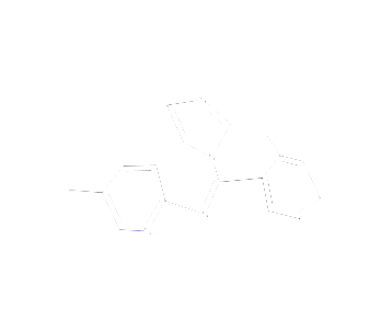 FC(F)(F)c1ccccc1/C(=N/c1ccc(Cl)cn1)n1ccnc1